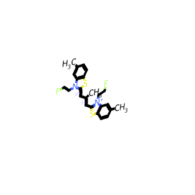 CC(/C=C1\Sc2ccc(C)cc2N1CCF)=C\c1sc2ccc(C)cc2[n+]1CCF